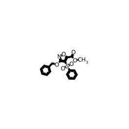 COC(=O)c1onc(OCc2ccccc2)c1S(=O)(=O)c1ccccc1